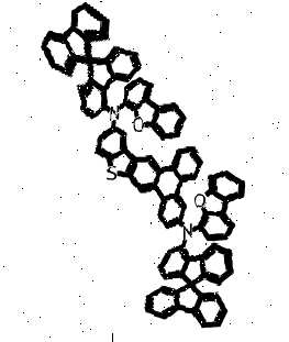 c1ccc2c(c1)-c1ccccc1C21c2ccccc2-c2c(N(c3ccc4sc5cc6c7ccc(N(c8cccc9c8-c8ccccc8C98c9ccccc9-c9ccccc98)c8cccc9c8oc8ccccc89)cc7c7ccccc7c6cc5c4c3)c3cccc4c3oc3ccccc34)cccc21